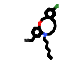 C=CCCCCN1CCCCc2cc(Cl)ccc2COc2ccc(CC#N)cc21